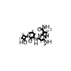 CNc1cc(Nc2cccn(C3CC[C@@H]3O)c2=O)nc2c(C(N)=O)cnn12